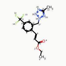 CCOC(=O)/C=C/c1ccc(C(F)(F)F)cc1Cn1nnc(C)n1